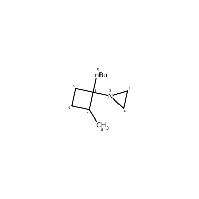 CCCCC1(N2CC2)CCC1C